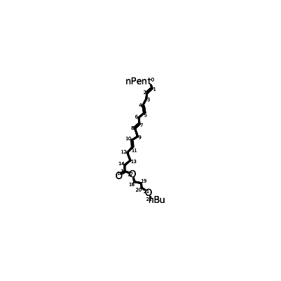 CCCCCC=CCC=CCC=CCC=CCCCC(=O)OCCCOCCCC